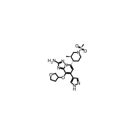 C[C@H]1CN(S(C)(=O)=O)CC[C@@H]1c1cc(-c2cn[nH]c2)c(OC2CCOC2)c2nc(N)nn12